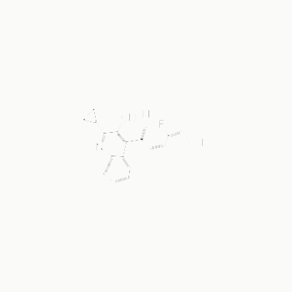 C=C(/C=C\C(F)=C/C)c1c(C)c(C2CC2)nc2ccccc12